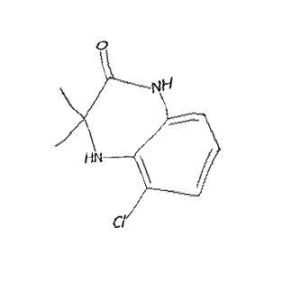 CC1(C)Nc2c(Cl)cccc2NC1=O